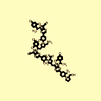 CC1CC(c2cnc3c(CC4CC(C(N)=O)N(C5CC=C(c6cnc7c(C#N)nn(C(CC8CC(CN)N(C9CC=C(c%10cnc%11c(C#N)nn(C(C)c%12ccc(Cl)cc%12Cl)c%11n%10)CC9C)C8)c8ccc(Cl)cc8Cl)c7n6)CC5C)C4)nn(C(C)c4ccc(Cl)cc4Cl)c3n2)=CCC1N1CCCC1CO